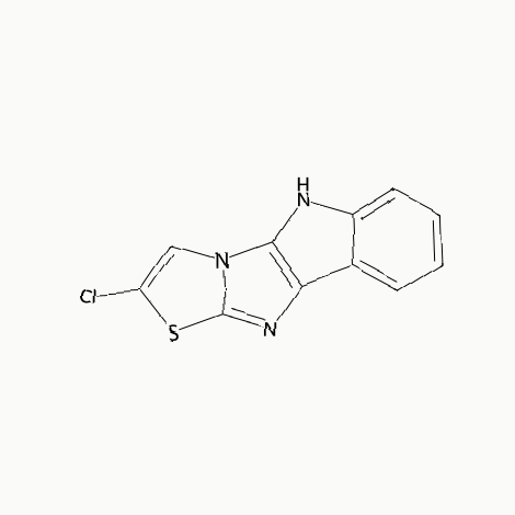 Clc1cn2c(nc3c4ccccc4[nH]c32)s1